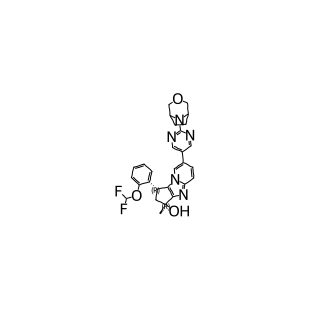 C[C@@]1(O)C[C@H](c2ccccc2OC(F)F)c2c1nc1ccc(-c3cnc(N4C5CCC4COC5)nc3)cn21